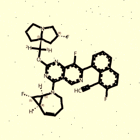 [2H]C([2H])(Oc1nc(N2CCC=C[C@H]3[C@H](F)[C@H]32)c2cnc(-c3cccc4ccc(F)c(C#C)c34)c(F)c2n1)[C@@]12CCCN1C[C@H](F)C2